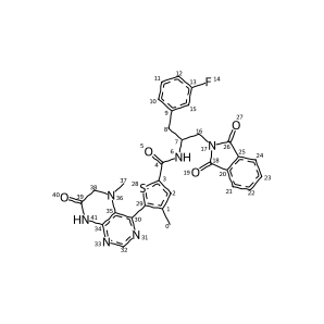 Cc1cc(C(=O)NC(Cc2cccc(F)c2)CN2C(=O)c3ccccc3C2=O)sc1-c1ncnc2c1N(C)CC(=O)N2